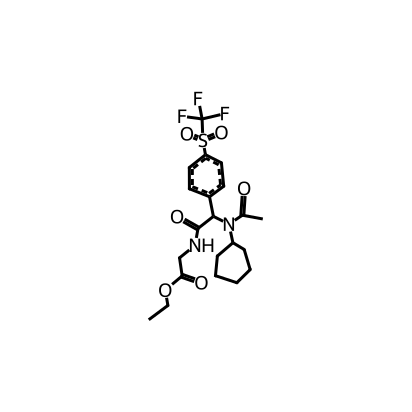 CCOC(=O)CNC(=O)C(c1ccc(S(=O)(=O)C(F)(F)F)cc1)N(C(C)=O)C1CCCCC1